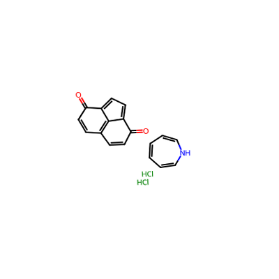 C1=CC=CNC=C1.Cl.Cl.O=C1C=CC2=C3C1=CC=C3C(=O)C=C2